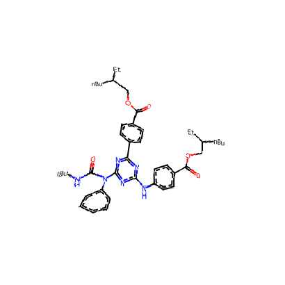 CCCCC(CC)COC(=O)c1ccc(Nc2nc(-c3ccc(C(=O)OCC(CC)CCCC)cc3)nc(N(C(=O)NC(C)(C)C)c3ccccc3)n2)cc1